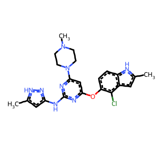 Cc1cc(Nc2nc(Oc3ccc4[nH]c(C)cc4c3Cl)cc(N3CCN(C)CC3)n2)n[nH]1